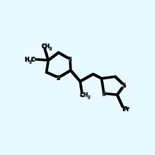 CC(C)C1SCC(CC(C)C2SCC(C)(C)CS2)S1